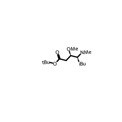 CCC(C)[C@H](NC)[C@@H](CC(=O)OC(C)(C)C)OC